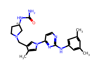 Cc1cc(C)cc(Nc2nccc(-n3cc(C)c(CN4CC[C@@H](NC(N)=O)C4)c3)n2)c1